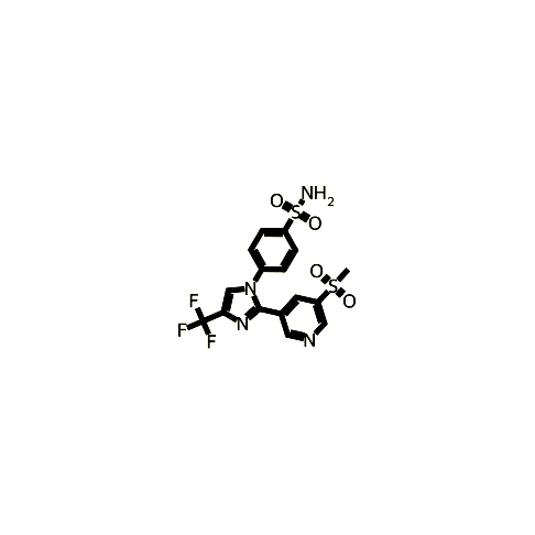 CS(=O)(=O)c1cncc(-c2nc(C(F)(F)F)cn2-c2ccc(S(N)(=O)=O)cc2)c1